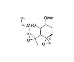 COC1CC[C@]2(CO2)C(C2(C)O[C@@H]2CCC(C)C)C1OC